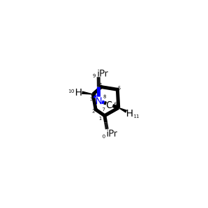 CC(C)C1C[C@@H]2CC[C@H]1CN2C(C)C